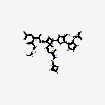 C=C(C)C/C(C(=C)C=C=CC)=C(\C)NC1=CC(C2CC(C)=C(C3=C(SC(=C)C)C=CC3)C2)C1(C)/C=C\C(C)=C/NC1=C=CC1